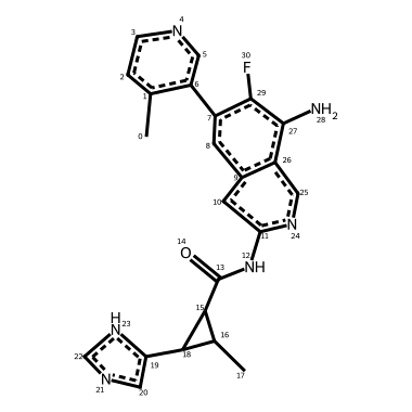 Cc1ccncc1-c1cc2cc(NC(=O)C3C(C)C3c3cnc[nH]3)ncc2c(N)c1F